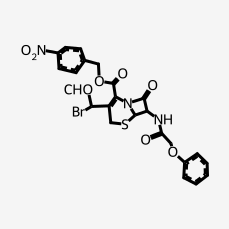 O=CC(Br)C1=C(C(=O)OCc2ccc([N+](=O)[O-])cc2)N2C(=O)C(NC(=O)COc3ccccc3)C2SC1